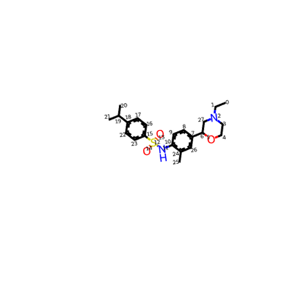 CCN1CCOC(c2ccc(NS(=O)(=O)c3ccc(C(C)C)cc3)c(C)c2)C1